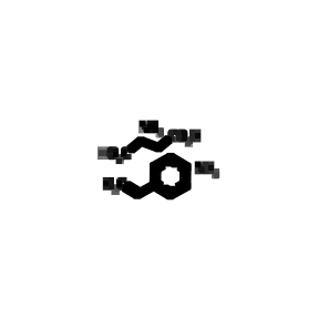 C=Cc1ccccc1.N.N.O=C(O)CCC(=O)O